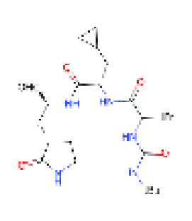 CC(C)C(NC(=O)NC(C)(C)C)C(=O)N[C@@H](CC1CC1)C(=O)N[C@H](C=O)C[C@@H]1CCNC1=O